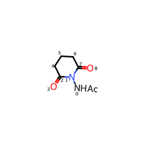 CC(=O)NN1C(=O)CCCC1=O